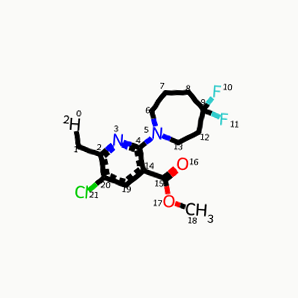 [2H]Cc1nc(N2CCCC(F)(F)CC2)c(C(=O)OC)cc1Cl